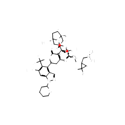 Cc1cc2c(cnn2C2CCCCO2)c(C2Cc3nc(OC[C@]4(CN(C)C)CC4(F)F)nc(N4C[C@H]5CC[C@@](C)(C4)N5C(=O)OC(C)(C)C)c3C(=O)O2)c1C(F)(F)F